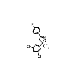 Fc1ccc(C2=NOC(c3cc(Cl)cc(Cl)c3)(C(F)(F)F)C2)cc1